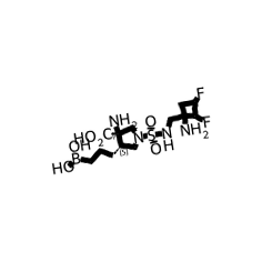 NC1(CNS(=O)(=O)N2C[C@H](CCCB(O)O)[C@](N)(C(=O)O)C2)CC(F)C1F